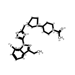 CCc1nn(-c2noc(C[C@@H]3CCN(C4CCN(C(C)=O)CC4)C3)n2)c2c(F)cccc12